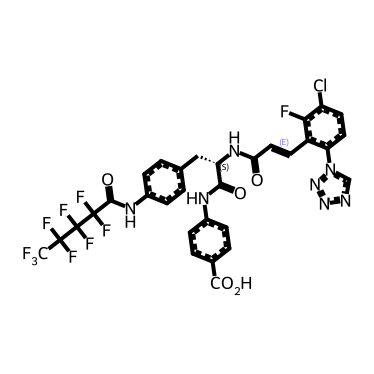 O=C(/C=C/c1c(-n2cnnn2)ccc(Cl)c1F)N[C@@H](Cc1ccc(NC(=O)C(F)(F)C(F)(F)C(F)(F)C(F)(F)F)cc1)C(=O)Nc1ccc(C(=O)O)cc1